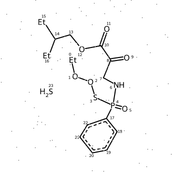 CCOOSP(=O)(NCC(=O)C(=O)OCC(CC)CC)c1ccccc1.S